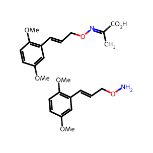 COc1ccc(OC)c(C=CCON)c1.COc1ccc(OC)c(C=CCON=C(C)C(=O)O)c1